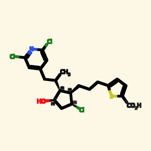 CC(Cc1cc(Cl)nc(Cl)c1)[C@@H]1[C@@H](CCCc2ccc(C(=O)O)s2)[C@H](Cl)C[C@H]1O